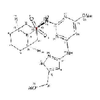 CCS(=O)(=O)N1[C@@H]2CCC[C@H]1C[C@@H](Nc1nc(Nc3cc(CO)[nH]n3)cc(OC)n1)C2